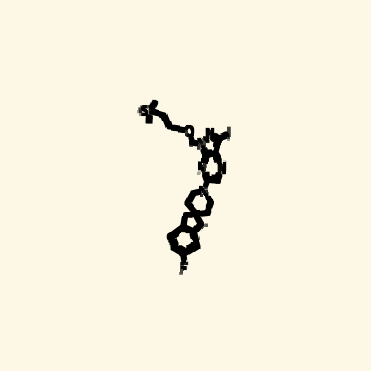 C[Si](C)(C)CCOCn1nc(I)c2ncc(N3CCC4([CH]c5cc(F)ccc5C4)CC3)nc21